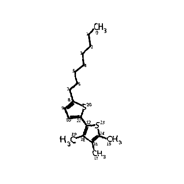 CCCCCCCCc1ccc(-c2sc(C)c(C)c2C)s1